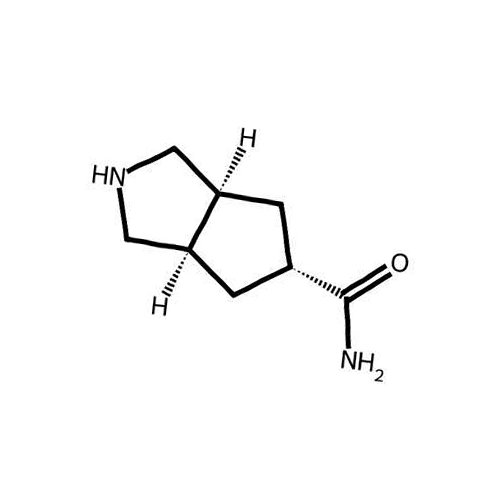 NC(=O)[C@@H]1C[C@H]2CNC[C@H]2C1